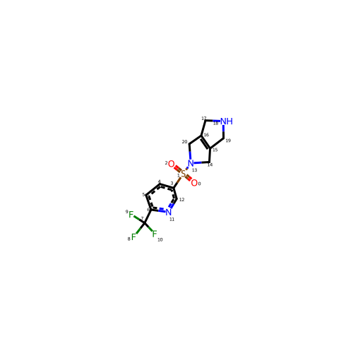 O=S(=O)(c1ccc(C(F)(F)F)nc1)N1CC2=C(CNC2)C1